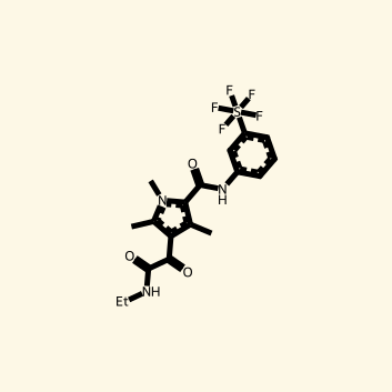 CCNC(=O)C(=O)c1c(C)c(C(=O)Nc2cccc(S(F)(F)(F)(F)F)c2)n(C)c1C